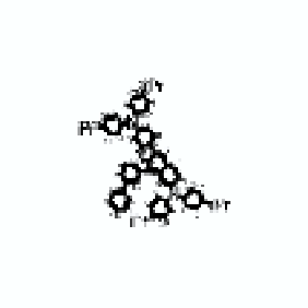 CC(C)c1ccc(N(c2ccc(C(C)C)cc2)c2ccc3cc4c5ccc(N(c6ccc(C(C)C)cc6)c6ccc(C(C)C)cc6)cc5n5c6ccc(-c7ccccc7)cc6c(c3c2)c45)cc1